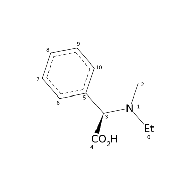 CCN(C)[C@@H](C(=O)O)c1ccccc1